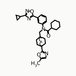 Cc1cnc(C23CCC(CN(C(=O)C4CCCCC4)c4cccc(-c5nc(C6CC6)no5)c4)(CC2)CC3)o1